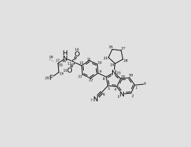 Cc1cnc2c(C#N)c(-c3ccc(S(=O)(=O)N[C@@H](C)CF)cc3)n(C3CCCC3)c2c1